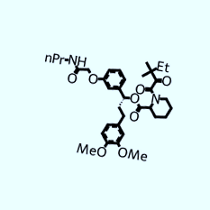 CCCNC(=O)COc1cccc([C@@H](CCc2ccc(OC)c(OC)c2)OC(=O)C2CCCCN2C(=O)C(=O)C(C)(C)CC)c1